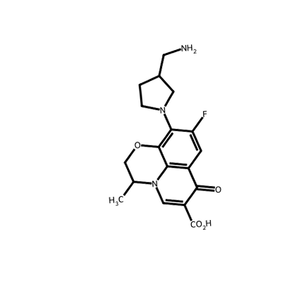 CC1COc2c(N3CCC(CN)C3)c(F)cc3c(=O)c(C(=O)O)cn1c23